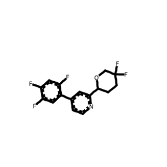 Fc1cc(F)c(-c2ccnc(C3CCC(F)(F)CO3)c2)cc1F